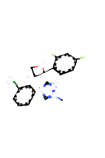 Cn1cnc([C@@]2(c3ccc(F)cc3F)OC[C@H]2c2ccccc2Cl)n1